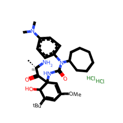 COC1=CC(NC(=O)N(c2ccc(N(C)C)cc2)C2CCCCCC2)(C(=O)[C@H](C)N)C(O)C(C(C)(C)C)=C1.Cl.Cl